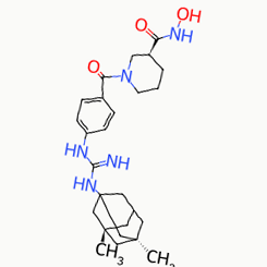 C[C@]12CC3CC(NC(=N)Nc4ccc(C(=O)N5CCC[C@H](C(=O)NO)C5)cc4)(C1)C[C@@](C)(C3)C2